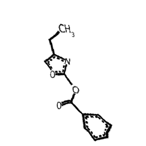 CCc1coc(OC(=O)c2ccccc2)n1